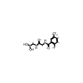 O=C(CNC(=O)c1cc(C(F)(F)F)ccc1F)NCB(O)O